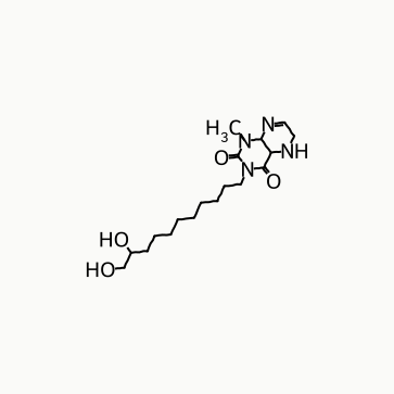 CN1C(=O)N(CCCCCCCCCC(O)CO)C(=O)C2NCC=NC21